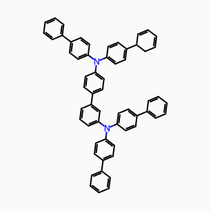 C1=CCC(c2ccc(N(c3ccc(-c4ccccc4)cc3)c3ccc(-c4cccc(N(c5ccc(-c6ccccc6)cc5)c5ccc(-c6ccccc6)cc5)c4)cc3)cc2)C=C1